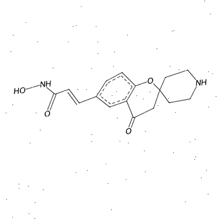 O=C(C=Cc1ccc2c(c1)C(=O)CC1(CCNCC1)O2)NO